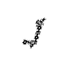 CC(C)(C)OC(=O)N1CCC[C@H]1c1nc2cc(-c3cnc(-c4ccc(-c5cnc([C@@H]6CCCN6C(=O)OCc6ccccc6)[nH]5)cc4)nc3)ccc2[nH]1